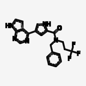 O=C(c1cc(-c2ncnc3[nH]ccc23)c[nH]1)N(CCC(F)(F)F)Cc1ccccc1